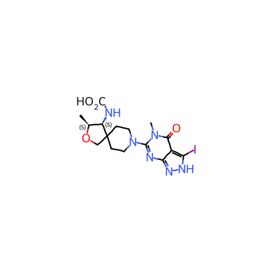 C[C@@H]1OCC2(CCN(c3nc4n[nH]c(I)c4c(=O)n3C)CC2)[C@@H]1NC(=O)O